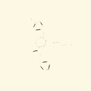 C[C@@H]1CN(Cc2ccc(F)cc2)[C@H](CCCCO)CN1C(=O)COc1ccc(Cl)cc1